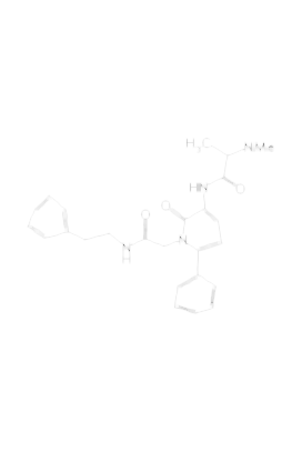 CNC(C)C(=O)Nc1ccc(-c2ccccc2)n(CC(=O)NCCc2ccccc2)c1=O